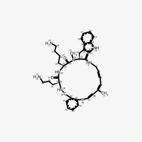 CC1=CC=CCNC(=O)[C@H](Cc2c[nH]c3ccccc23)N(C)C(=O)[C@H](CCCCN)NC(=O)[C@H](CCCN)NCc2ccccc2SC=C1